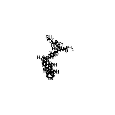 CC(C)[C@H](NC(=O)CCOCCN)C(=O)N[C@@H](CCCNC(N)=O)C(=O)Cc1ccc(COC(=O)N(C)Cc2ccc3c(c2)C(=O)c2c(O)cc4c(c2C3=O)N[C@H]2C#C/C=C\C#C[C@@H](O)[C@@]43O[C@@]23[C@@H](C)O)cc1